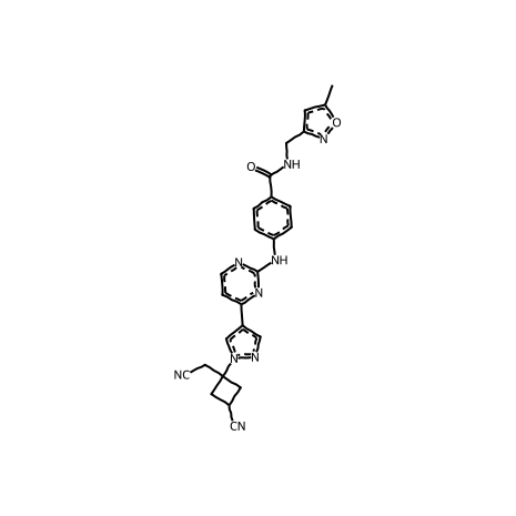 Cc1cc(CNC(=O)c2ccc(Nc3nccc(-c4cnn(C5(CC#N)CC(C#N)C5)c4)n3)cc2)no1